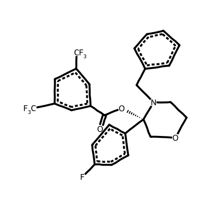 O=C(O[C@@]1(c2ccc(F)cc2)COCCN1Cc1ccccc1)c1cc(C(F)(F)F)cc(C(F)(F)F)c1